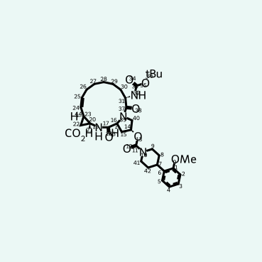 COc1ccccc1C1CCN(C(=O)O[C@@H]2C[C@H]3C(=O)N[C@]4(C(=O)O)C[C@H]4/C=C\CCCCC[C@H](NC(=O)OC(C)(C)C)C(=O)N3C2)CC1